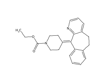 CCOC(=O)N1CCC(=C2c3ccccc3CCc3cccnc32)CC1